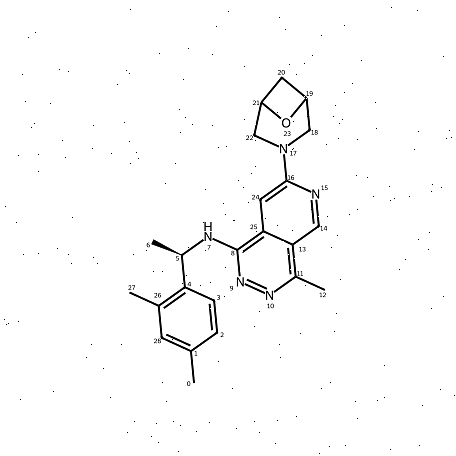 Cc1ccc([C@@H](C)Nc2nnc(C)c3cnc(N4CC5CC(C4)O5)cc23)c(C)c1